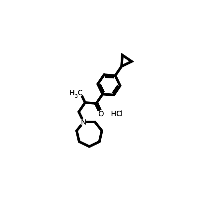 CC(CN1CCCCCC1)C(=O)c1ccc(C2CC2)cc1.Cl